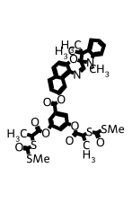 CSC(=O)SC(C)C(=O)Oc1cc(OC(=O)C(C)SC(=O)SC)cc(C(=O)Oc2ccc3ccc4c(c3c2)N=CC2(O4)N(C)c3ccccc3C2(C)C)c1